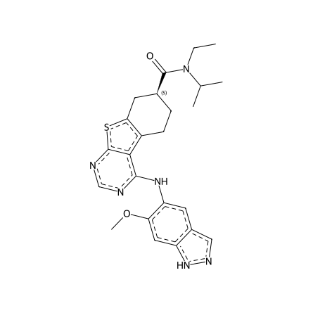 CCN(C(=O)[C@H]1CCc2c(sc3ncnc(Nc4cc5cn[nH]c5cc4OC)c23)C1)C(C)C